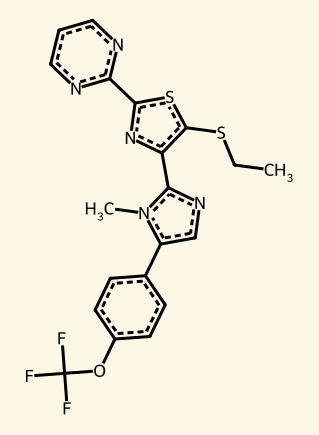 CCSc1sc(-c2ncccn2)nc1-c1ncc(-c2ccc(OC(F)(F)F)cc2)n1C